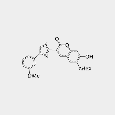 CCCCCCc1cc2cc(-c3nc(-c4cccc(OC)c4)cs3)c(=O)oc2cc1O